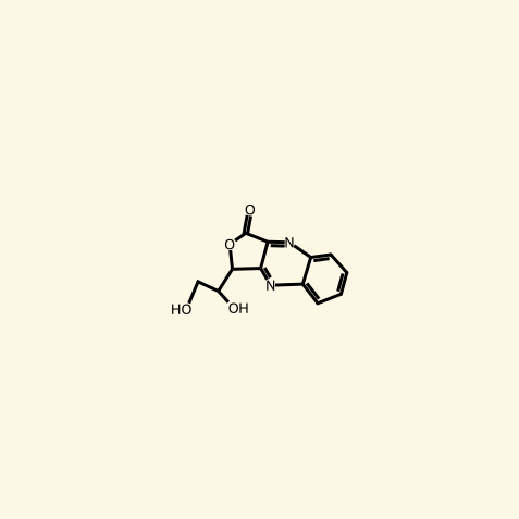 O=C1OC(C(O)CO)c2nc3ccccc3nc21